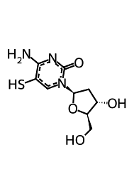 Nc1nc(=O)n([C@H]2C[C@H](O)[C@@H](CO)O2)cc1S